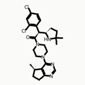 C[C@@H]1CCc2ncnc(N3CCN(C(=O)[C@@H](c4ccc(Cl)cc4Cl)[C@@H]4CCC(C)(C)N4)CC3)c21